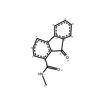 CNC(=O)c1cccc2c1C(=O)c1ccccc1-2